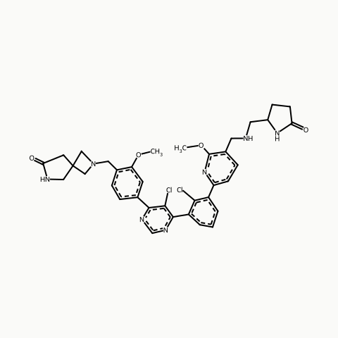 COc1cc(-c2ncnc(-c3cccc(-c4ccc(CNCC5CCC(=O)N5)c(OC)n4)c3Cl)c2Cl)ccc1CN1CC2(CNC(=O)C2)C1